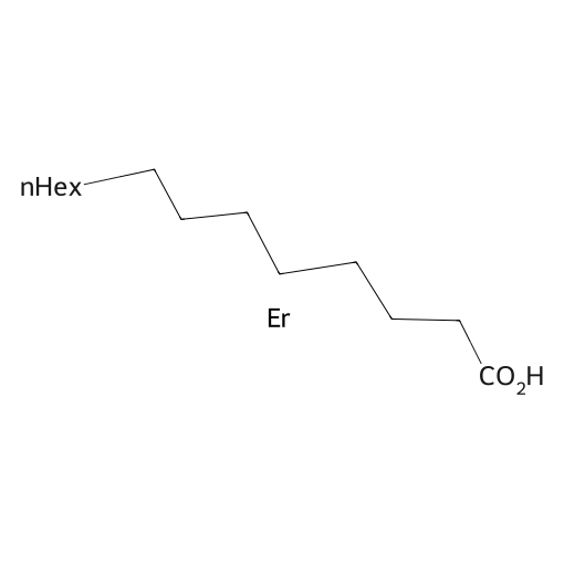 CCCCCCCCCCCCCC(=O)O.[Er]